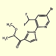 CON(C)C(=O)c1cnn(-c2ncc(Br)cc2C(F)F)n1